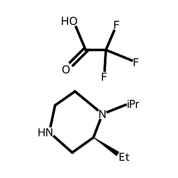 CC[C@H]1CNCCN1C(C)C.O=C(O)C(F)(F)F